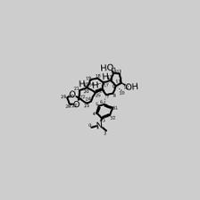 CN(C)c1ccc([C@H]2C[C@]3(C)[C@H](O)CC(O)[C@@H]3[C@@H]3CC[C@H]4CC5(CCC4=C32)OCCO5)cc1